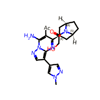 CC(=O)c1c([C@H]2C[C@H]3CC[C@@H](C2)N3C(=O)CO)nc2c(-c3cnn(C)c3)cnn2c1N